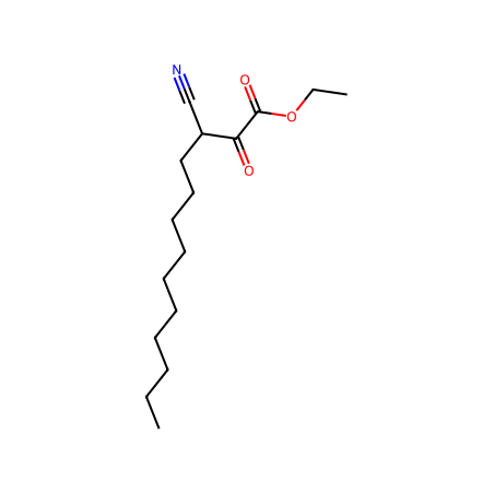 CCCCCCCCCCC(C#N)C(=O)C(=O)OCC